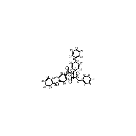 O=C(NC1(OC(Cc2ccccc2)C(=O)O)C=CC(c2ccccc2)C=C1)c1ccc(Oc2ccccc2)cc1